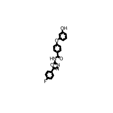 O=C(Nc1nnc(-c2ccc(F)cc2)o1)c1ccc(Oc2cccc(O)c2)cc1